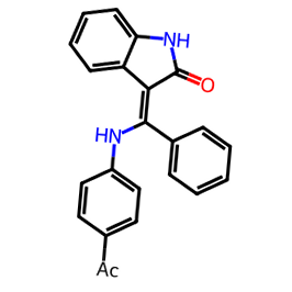 CC(=O)c1ccc(NC(=C2C(=O)Nc3ccccc32)c2ccccc2)cc1